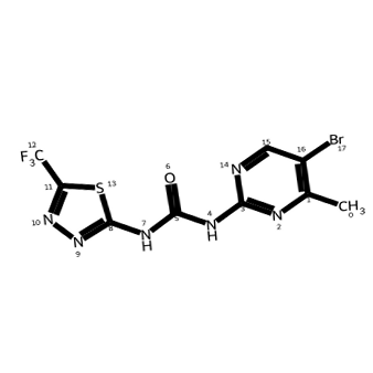 Cc1nc(NC(=O)Nc2nnc(C(F)(F)F)s2)ncc1Br